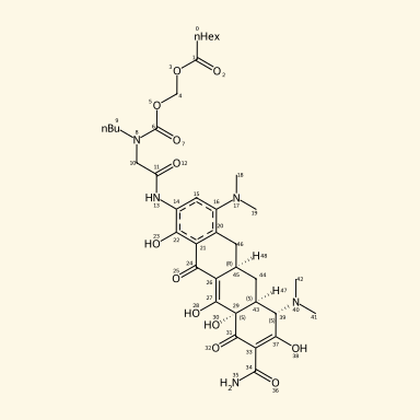 CCCCCCC(=O)OCOC(=O)N(CCCC)CC(=O)Nc1cc(N(C)C)c2c(c1O)C(=O)C1=C(O)[C@]3(O)C(=O)C(C(N)=O)=C(O)[C@@H](N(C)C)[C@@H]3C[C@@H]1C2